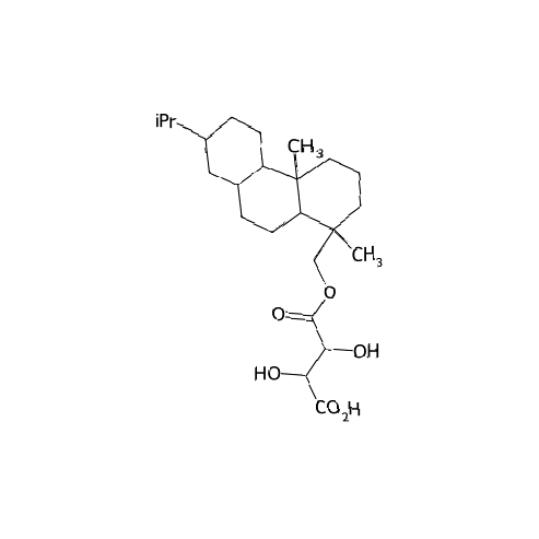 CC(C)C1CCC2C(CCC3C(C)(COC(=O)C(O)C(O)C(=O)O)CCCC23C)C1